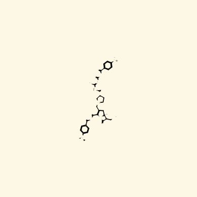 C[C@@H](O)C1C(=O)N2C(C(=O)OC(=O)c3ccc([N+](=O)[O-])cc3)=C(CN3CC[C@H](C(=O)NC(N)=NC(=O)OC(=O)c4ccc([N+](=O)[O-])cc4)C3)[C@H](C)[C@H]12